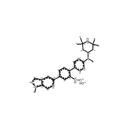 CN(c1ncc(-c2ccc(-c3cc4cnn(C)c4cn3)cc2O)nn1)C1CC(C)(C)NC(C)(C)C1.Cl.Cl